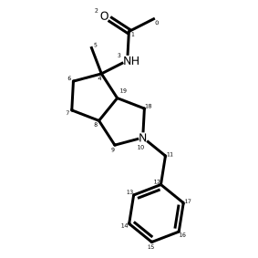 CC(=O)NC1(C)CCC2CN(Cc3ccccc3)CC21